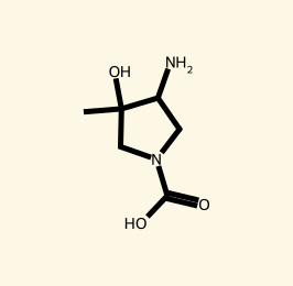 CC1(O)CN(C(=O)O)CC1N